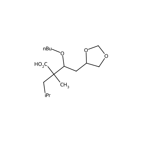 CCCCOC(CC1COCO1)C(C)(CC(C)C)C(=O)O